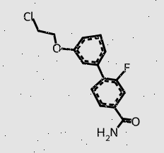 NC(=O)c1ccc(-c2cccc(OCCCl)c2)c(F)c1